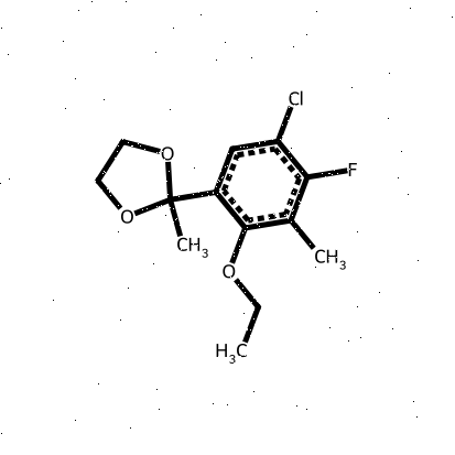 CCOc1c(C2(C)OCCO2)cc(Cl)c(F)c1C